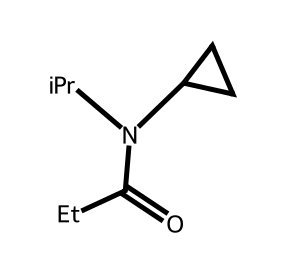 CCC(=O)N(C(C)C)C1CC1